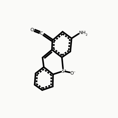 Nc1cc2c(c(=C=O)c1)=Cc1ccccc1[S+]2[O-]